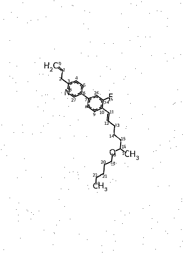 C=CCc1ccc(-c2ccc(C=CCCCC(C)OCCCCC)c(F)c2)cn1